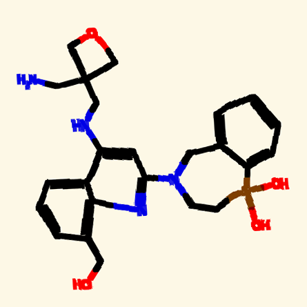 NCC1(CNc2cc(N3CCS(O)(O)c4ccccc4C3)nc3c(CO)cccc23)COC1